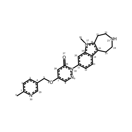 Cc1ccc(COc2cnn(-c3ccc4c5c(n(C)c4c3)CCNCC5)c(=O)c2)cn1